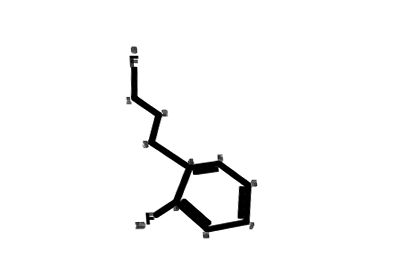 FCCCc1ccccc1F